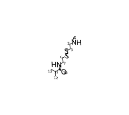 CNCCSSCCNC(=O)C(C)C